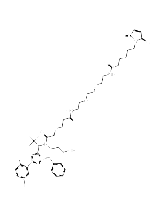 CC(C)(C)C(c1cc(-c2cc(F)ccc2F)cn1Cc1ccccc1)N(CCCN)C(=O)CSCCC(=O)NCCOCCOCCNC(=O)CCCCCN1C(=O)C=CC1=O